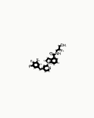 O=C(NC[C@H](F)CO)c1cccc2c1CCN2c1cc(Cc2cc(F)c(F)c(F)c2)ccn1